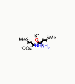 CSCCC(N)C(=O)NC(CCSC)C(=O)[O-].[K+]